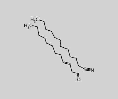 CCCCCCCCC=CCC=O.CCCCCCCCCCCC#N